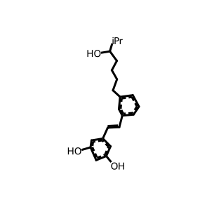 CC(C)C(O)CCCCc1cccc(C=Cc2cc(O)cc(O)c2)c1